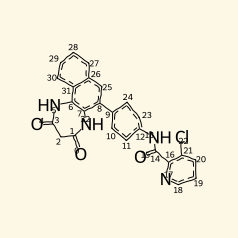 O=C1CC(=O)Nc2c(c(-c3ccc(NC(=O)c4ncccc4Cl)cc3)cc3ccccc23)N1